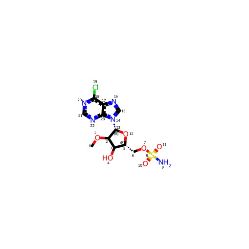 COC1C(O)[C@@H](COS(N)(=O)=O)O[C@H]1n1cnc2c(Cl)ncnc21